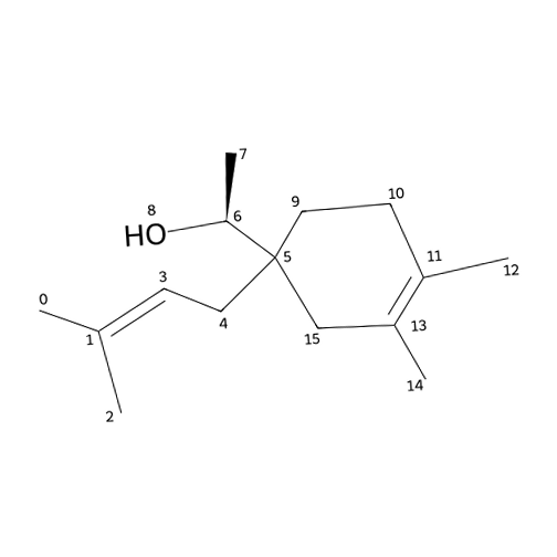 CC(C)=CCC1([C@H](C)O)CCC(C)=C(C)C1